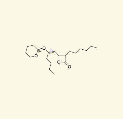 CCCCCCC1C(=O)OC1/C=C(\CCCC)O[C@@H]1CCCCO1